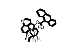 C=C[C@H]1CN2CC[C@H]1C[C@@H]2[C@@H](OC(=O)c1c2ccccc2cc2ccccc12)c1ccnc2ccc(OC)cc12